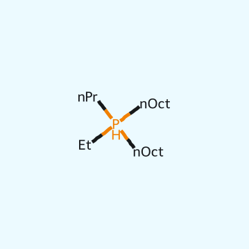 CCCCCCCC[PH](CC)(CCC)CCCCCCCC